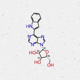 OC[C@H]1O[C@@H](n2cnc3c(-c4cc5ccccc5[nH]4)ncnc32)[C@H](O)[C@@H]1O